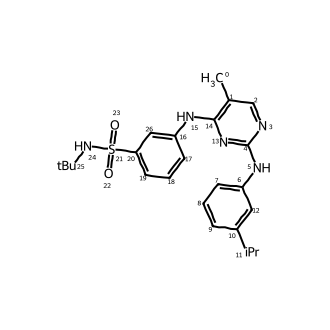 Cc1cnc(Nc2cccc(C(C)C)c2)nc1Nc1cccc(S(=O)(=O)NC(C)(C)C)c1